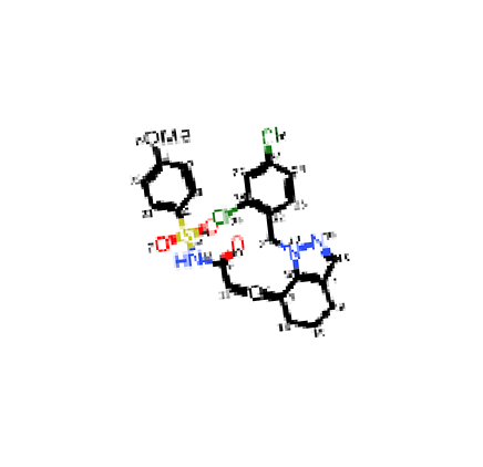 COc1ccc(S(=O)(=O)NC(=O)C=C=C2CCCc3cnn(Cc4ccc(Cl)cc4Cl)c32)cc1